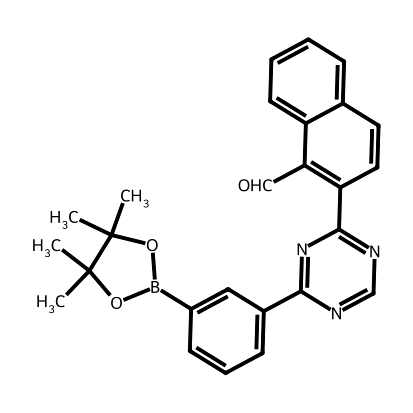 CC1(C)OB(c2cccc(-c3ncnc(-c4ccc5ccccc5c4C=O)n3)c2)OC1(C)C